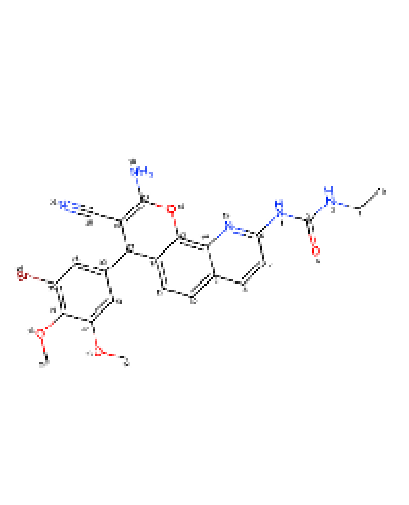 CCNC(=O)Nc1ccc2ccc3c(c2n1)OC(N)=C(C#N)C3c1cc(Br)c(OC)c(OC)c1